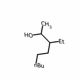 CCCCCCC(CC)C(C)O